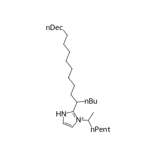 CCCCCCCCCCCCCCCCCCC(CCCC)c1[nH]cc[n+]1C(C)CCCCC